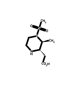 C[C@H]1[C@H](CC(=O)O)NCCN1S(C)(=O)=O